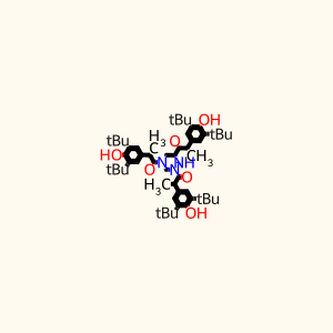 CC(C(=O)C1CN(C(=O)C(C)c2cc(C(C)(C)C)c(O)c(C(C)(C)C)c2)CN(C(=O)C(C)c2cc(C(C)(C)C)c(O)c(C(C)(C)C)c2)N1)c1cc(C(C)(C)C)c(O)c(C(C)(C)C)c1